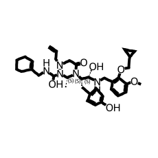 C=CCN1CC(=O)N([C@@H](Cc2ccc(O)cc2)[C@H](O)NCc2cccc(OC)c2OCC2CC2)[C@H](C)N1C(O)NCC1=CCCCC1